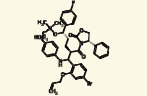 C=CCOc1cc(Br)ccc1C(Nc1ccc(O)cc1)[C@@H](CC[C@H](O[Si](C)(C)C)c1ccc(F)cc1)C(=O)N1C(=O)OC[C@@H]1c1ccccc1